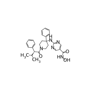 CC(C)[C@H](C(=O)N1CCC(Nc2ncc(C(=O)NO)cn2)(c2ccccc2)CC1)c1ccccc1